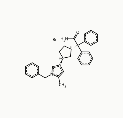 Cc1cn([C@H]2CC[C@H](C(C(N)=O)(c3ccccc3)c3ccccc3)C2)c[n+]1Cc1ccccc1.[Br-]